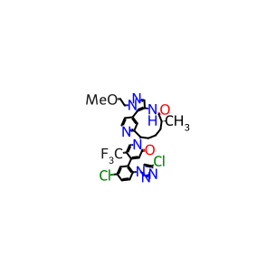 COCCn1ncc2c1-c1ccnc(c1)[C@@H](n1cc(C(F)(F)F)c(-c3cc(Cl)ccc3-n3cc(Cl)nn3)cc1=O)CCC[C@@H](C)C(=O)N2